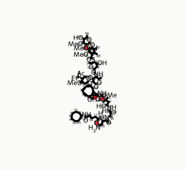 CCN(C(C)=O)C1COC(OC2C(O[C@H]3C#C/C=C\C#C[C@]4(O)CC(=O)C(NC(=O)OC)C3/C4=C\CSSC(C)(C)CC(O)NNC(=O)[C@H](C)NC(=O)C(CC(N)=O)NC(=O)CCCC(=O)NC3CCCCCCCC3)OC(C)C(NOC3CC(O)C(SC(=O)c4c(C)c(I)c(OC5OC(C)C(O)C(OC)C5O)c(OC)c4OC)C(C)O3)C2O)CC1OC